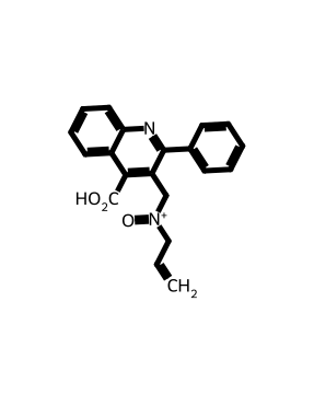 C=CC[N+](=O)Cc1c(-c2ccccc2)nc2ccccc2c1C(=O)O